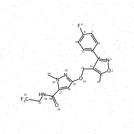 Cc1onc(-c2ccc(F)cc2)c1COc1cc(C(=O)NCC(F)(F)F)n(C)n1